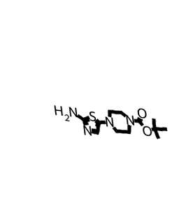 CC(C)(C)OC(=O)N1CCN(c2cnc(N)s2)CC1